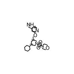 NCc1ccnc(OC[C@@H]2C[C@H](C3CCCCC3)CN(S(=O)(=O)N3CCOCC3)C2)c1